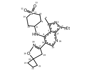 CCn1nc(C)c2c(NC3CCS(=O)(=O)CC3)c(C3=NOC4(CCC4)C3)cnc21